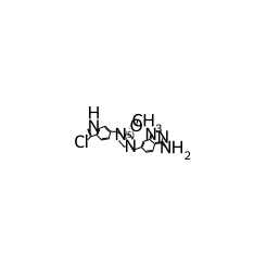 COC[C@@H]1CN(Cc2ccc3c(N)ncnc3c2)CCN1Cc1ccc2c(Cl)c[nH]c2c1